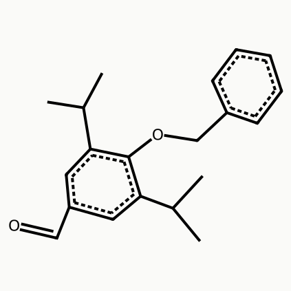 CC(C)c1cc(C=O)cc(C(C)C)c1OCc1ccccc1